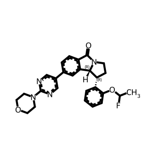 CC(F)Oc1ccccc1[C@H]1CCN2C(=O)c3ccc(-c4cnc(N5CCOCC5)nc4)cc3[C@@H]12